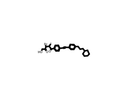 CC(=O)C(C(=O)CO)C(I)C(=O)c1ccc(C#Cc2ccc(CCCC3CCCCC3)cc2)cc1